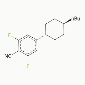 CCCC[C@H]1CC[C@H](c2cc(F)c(C#N)c(F)c2)CC1